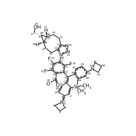 C[Si]1(C)C2=CC(=[N+]3CCC3)C=CC2=C(c2c(F)c(-n3nnc4c3CC[C@@H]3[C@H](CO)[C@@H]3CC4)c(F)c(F)c2C(=O)[O-])c2ccc(N3CCC3)cc21